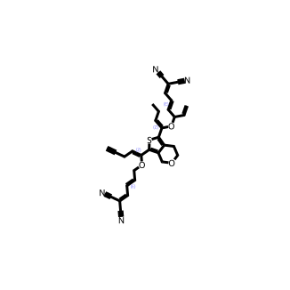 C#CC/C=C(\OC/C=C/C=C(C#N)C#N)c1sc(/C(=C/CC)OC(C=C)/C=C/C=C(C#N)C#N)c2c1COCC2